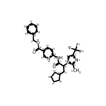 Cc1nc(C(F)(F)F)cn1C(CC1CCCC1)C(=O)Nc1ccc(C(=O)OCc2ccccc2)cn1